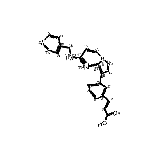 O=C(O)C=Cc1cccc(-c2cnn3ccc(NCc4ccncc4)nc23)c1